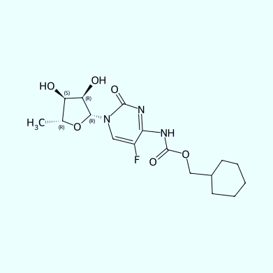 C[C@H]1O[C@@H](n2cc(F)c(NC(=O)OCC3CCCCC3)nc2=O)[C@H](O)[C@@H]1O